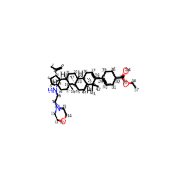 C=C(C)[C@@H]1CC[C@]2(NCCN3CCOCC3)CC[C@]3(C)[C@H](CC[C@@H]4[C@@]5(C)CC=C(C6=CCC(C(=O)OCC)CC6)C(C)(C)[C@@H]5CC[C@]43C)[C@@H]12